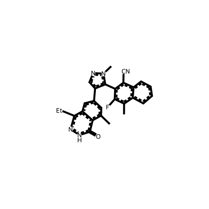 CCc1n[nH]c(=O)c2c(C)cc(-c3cnn(C)c3-c3c(F)c(C)c4ccccc4c3C#N)cc12